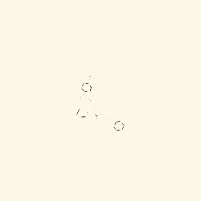 C[C@H](CC[C@@H]1[C@H](C)c2cc(C(F)(F)F)ccc2N[C@H]1C1C=CC=CC1)CNCc1ccccc1